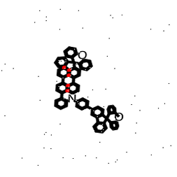 c1ccc(-c2ccc(-c3ccccc3N(c3ccc(-c4ccc5c(c4)-c4ccccc4C54c5ccccc5Oc5ccccc54)cc3)c3ccc(-c4ccc5c(c4)-c4ccccc4C54c5ccccc5Oc5ccccc54)cc3)cc2)cc1